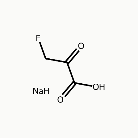 O=C(O)C(=O)CF.[NaH]